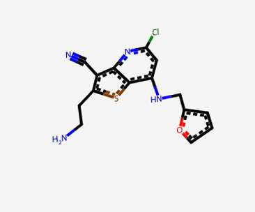 N#Cc1c(CCN)sc2c(NCc3ccco3)cc(Cl)nc12